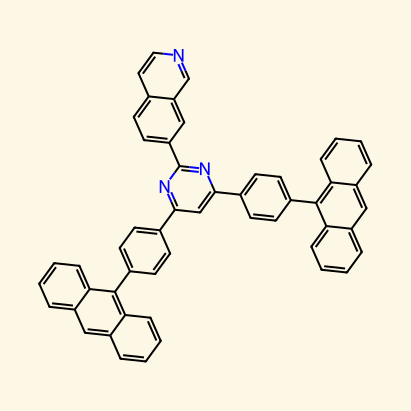 c1ccc2c(-c3ccc(-c4cc(-c5ccc(-c6c7ccccc7cc7ccccc67)cc5)nc(-c5ccc6ccncc6c5)n4)cc3)c3ccccc3cc2c1